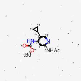 CC(=O)Nc1cc(NC(=O)OC(C)(C)C)c(C2CC2)cn1